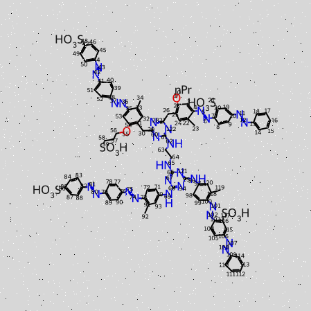 CCCOc1cc(N=Nc2ccc(N=Nc3ccccc3)cc2S(=O)(=O)O)c(C)cc1Cc1nc(Cc2cc(C)c(N=Nc3ccc(N=Nc4ccc(S(=O)(=O)O)cc4)cc3)cc2OCCCS(=O)(=O)O)nc(NCCNc2nc(Nc3ccc(N=Nc4ccc(N=Nc5ccc(S(=O)(=O)O)cc5)cc4)c(C)c3)nc(Nc3ccc(N=Nc4ccc(N=Nc5ccccc5)cc4S(=O)(=O)O)c(C)c3)n2)n1